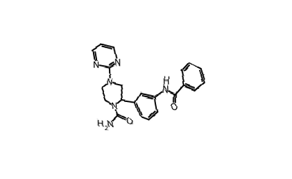 NC(=O)N1CCN(c2ncccn2)CC1c1cccc(NC(=O)c2ccccc2)c1